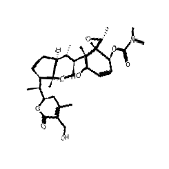 CC1=C(CO)C(=O)O[C@@H]([C@@H](C)[C@H]2CC[C@H]3[C@H](C)[C@@H]([C@@]4(C)C(O)C=C[C@H](OC(=O)N(C)C)[C@]45O[C@@H]5C)CC[C@]23C)C1